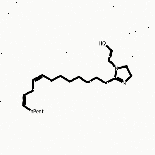 CCCCC/C=C\C/C=C\CCCCCCCC1=NCCN1CCO